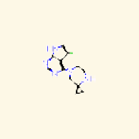 Clc1c[nH]c2ncnc(N3CCNC4(CC4)C3)c12